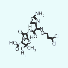 CC1(C)S[C@@H]2[C@@H](NC(=O)/C(=N\OCC=C(Cl)Cl)c3csc(N)n3)C(=O)N2[C@H]1C(=O)O